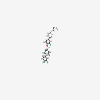 CCCC1CCC(c2cc(F)c(OCc3cc(F)c(-c4ccc(F)c(F)c4)c(F)c3)c(F)c2)CC1